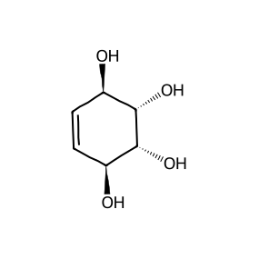 O[C@@H]1[C@H](O)[C@@H](O)C=C[C@H]1O